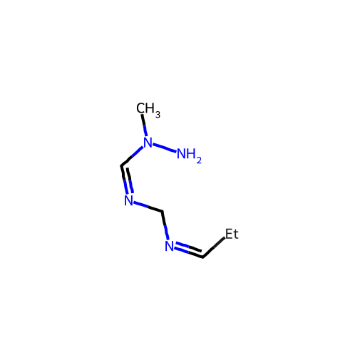 CC/C=N\C/N=C\N(C)N